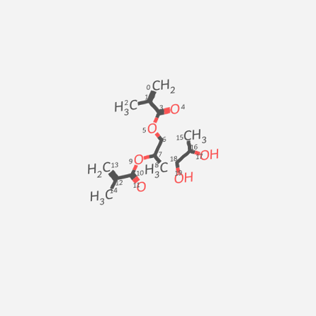 C=C(C)C(=O)OCC(C)OC(=O)C(=C)C.CC(O)CO